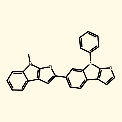 Cn1c2ccccc2c2cc(-c3ccc4c5ccoc5n(-c5ccccc5)c4c3)oc21